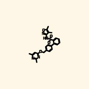 Cc1cc(OCc2ccc(-c3ccccc3S(=O)(=O)Nc3noc(C)c3C)cc2)nc(C)n1